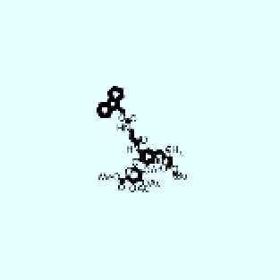 CCCC[N+](C)(CC(=O)OC(C)(C)C)Cc1ccc(O[C@@H]2O[C@H](C(=O)OC)[C@@H](OC(C)=O)[C@H](OC(C)=O)[C@H]2OC(C)=O)c(NC(=O)CCNC(=O)OCC2c3ccccc3-c3ccccc32)c1